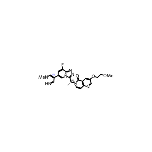 CN/C=C(\C=N)c1cc(F)c2nnc([C@@H](C)n3ccc4ncc(OCCOC)cc4c3=O)n2c1